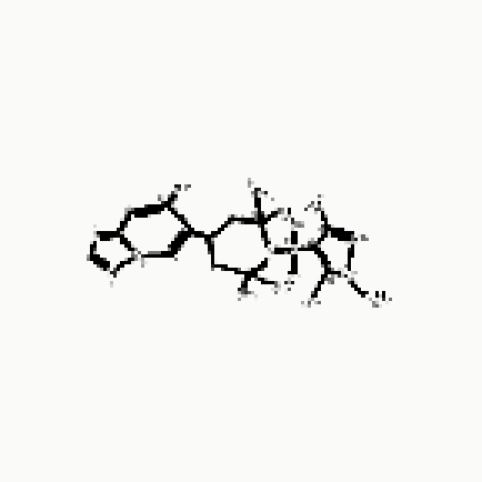 BC1(B)CC(c2cn3ncnc3cc2F)CC(B)(B)N1S(=O)(=O)c1c(C)nn(C)c1Cl